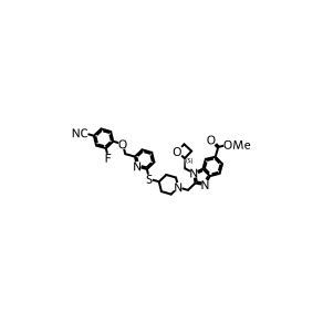 COC(=O)c1ccc2nc(CN3CCC(Sc4cccc(COc5ccc(C#N)cc5F)n4)CC3)n(C[C@@H]3CCO3)c2c1